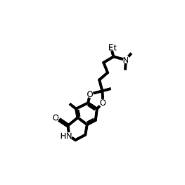 CCC(CCCC1(C)Oc2cc3c(c(C)c2O1)C(=O)NCC3)N(C)C